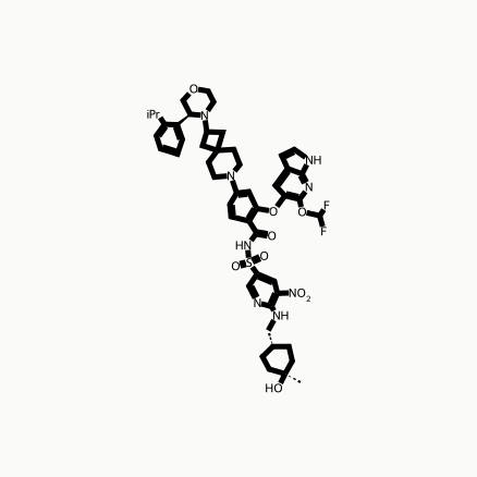 CC(C)c1ccccc1[C@H]1COCCN1C1CC2(CCN(c3ccc(C(=O)NS(=O)(=O)c4cnc(NC[C@H]5CC[C@](C)(O)CC5)c([N+](=O)[O-])c4)c(Oc4cc5cc[nH]c5nc4OC(F)F)c3)CC2)C1